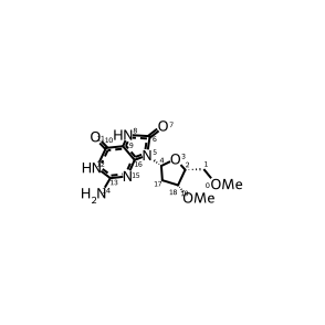 COC[C@H]1O[C@@H](n2c(=O)[nH]c3c(=O)[nH]c(N)nc32)C[C@H]1OC